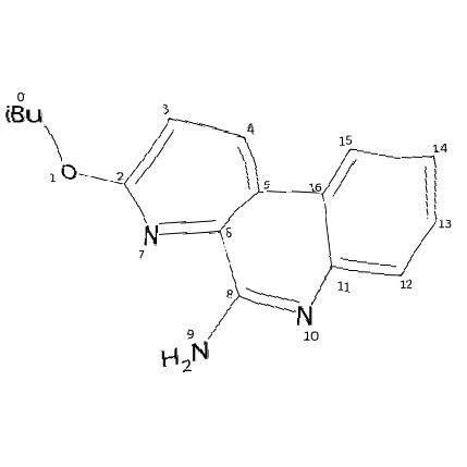 CCC(C)Oc1ccc2c(n1)c(N)nc1ccccc12